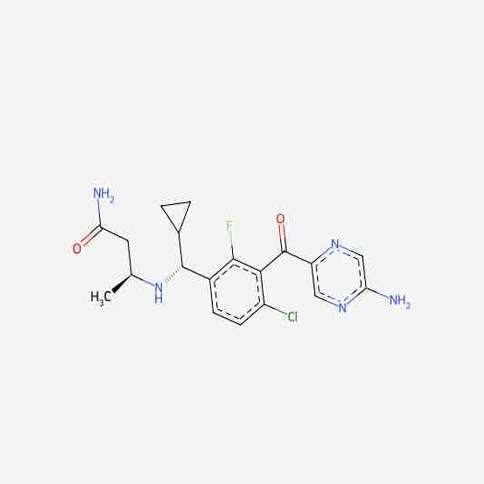 C[C@@H](CC(N)=O)N[C@@H](c1ccc(Cl)c(C(=O)c2cnc(N)cn2)c1F)C1CC1